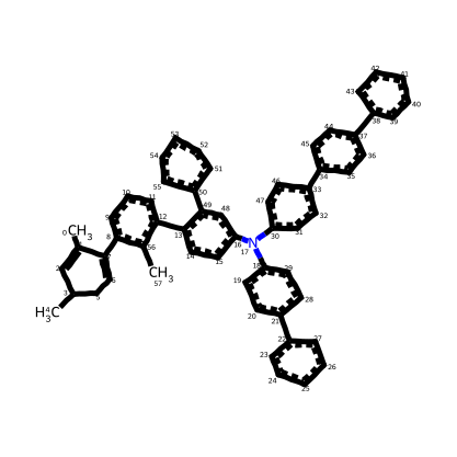 CC1=CC(C)CC=C1c1cccc(-c2ccc(N(c3ccc(-c4ccccc4)cc3)c3ccc(-c4ccc(-c5ccccc5)cc4)cc3)cc2-c2ccccc2)c1C